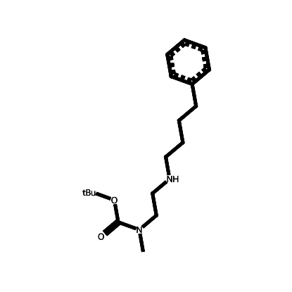 CN(CCNCCCCc1ccccc1)C(=O)OC(C)(C)C